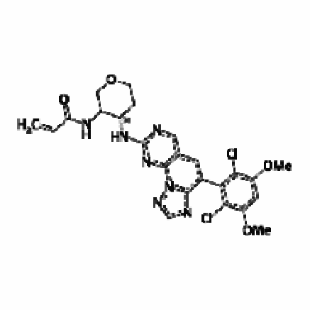 C=CC(=O)NC1COCC[C@@H]1Nc1ncc2cc(-c3c(Cl)c(OC)cc(OC)c3Cl)c3ncnn3c2n1